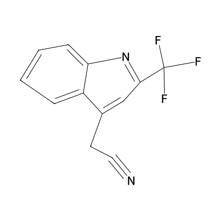 N#CCc1cc(C(F)(F)F)nc2ccccc12